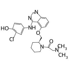 CN(C)CC(=O)N1CCCC[C@H]1COc1cccc2ncnc(Nc3ccc(O)c(Cl)c3)c12